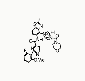 COc1cccc(F)c1-c1nccc(C(=O)Nc2ccc3sc(C)nc3c2N2C[C@H]3CC2CN3C(=O)N2CCOCC2)n1